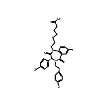 O=C(O)CCCCCCN1C(=O)[C@H](c2ccc(Cl)cc2)N(CCc2ccc(Cl)cc2)C(=O)c2cc(I)ccc21